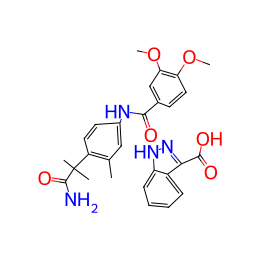 COc1ccc(C(=O)Nc2ccc(C(C)(C)C(N)=O)c(C)c2)cc1OC.O=C(O)c1n[nH]c2ccccc12